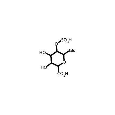 CC(C)(C)C1OC(C(=O)O)C(O)C(O)C1OS(=O)(=O)O